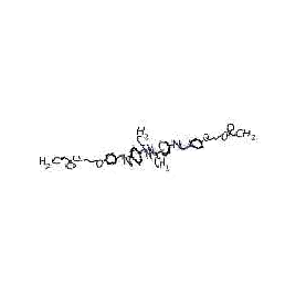 C=CC(=O)OCCCCOc1ccc(/C=N/c2ccc(/C(C)=N/N=C(\C)c3ccc(/N=C/c4ccc(OCCCCOC(=O)C=C)cc4)cc3)cc2)cc1